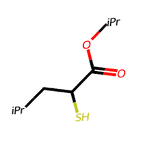 CC(C)CC(S)C(=O)OC(C)C